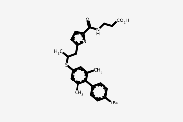 Cc1cc(SC(C)Cc2ccc(C(=O)NCCC(=O)O)s2)cc(C)c1-c1ccc(C(C)(C)C)cc1